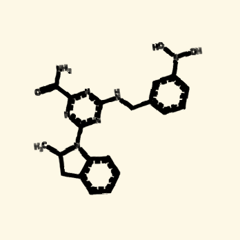 CC1Cc2ccccc2N1c1nc(NCc2cccc(B(O)O)c2)nc(C(N)=O)n1